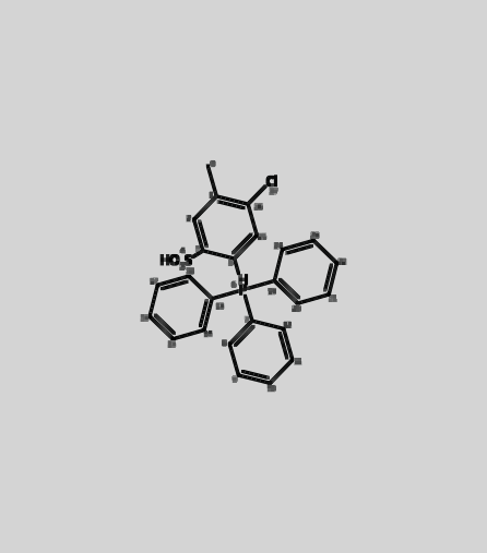 Cc1cc(S(=O)(=O)O)c([PH](c2ccccc2)(c2ccccc2)c2ccccc2)cc1Cl